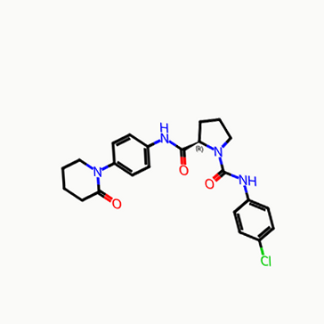 O=C(Nc1ccc(N2CCCCC2=O)cc1)[C@H]1CCCN1C(=O)Nc1ccc(Cl)cc1